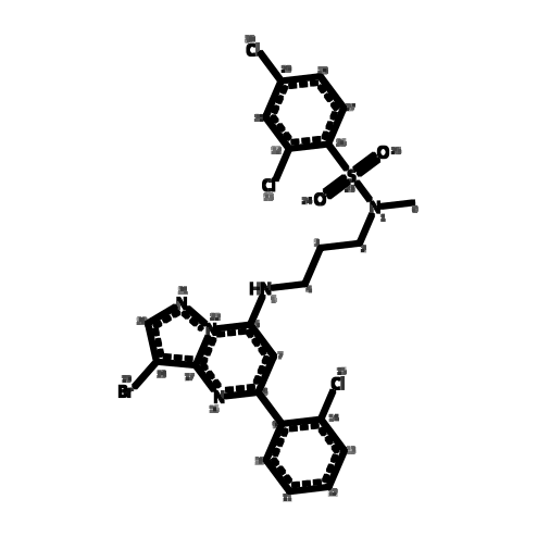 CN(CCCNc1cc(-c2ccccc2Cl)nc2c(Br)cnn12)S(=O)(=O)c1ccc(Cl)cc1Cl